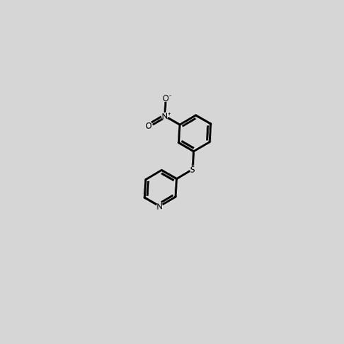 O=[N+]([O-])c1cccc(Sc2cccnc2)c1